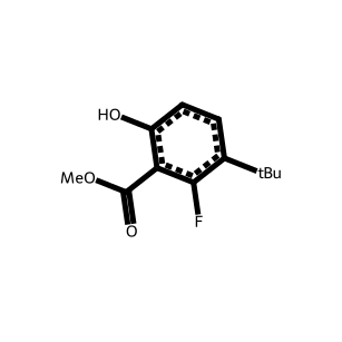 COC(=O)c1c(O)ccc(C(C)(C)C)c1F